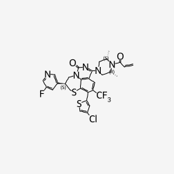 C=CC(=O)N1[C@H](C)CN(c2nc(=O)n3c4c(c(-c5cc(Cl)cs5)c(C(F)(F)F)cc24)SC[C@@H](c2cncc(F)c2)C3)C[C@@H]1C